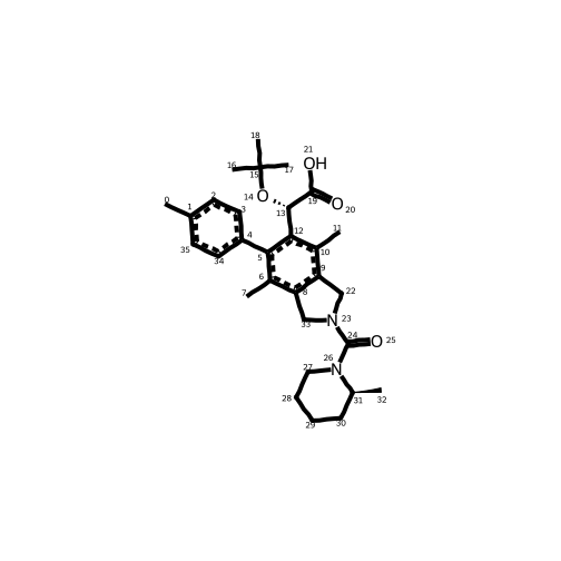 Cc1ccc(-c2c(C)c3c(c(C)c2[C@H](OC(C)(C)C)C(=O)O)CN(C(=O)N2CCCC[C@@H]2C)C3)cc1